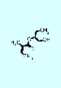 CC=C(C)C(=O)OC(CC)CO